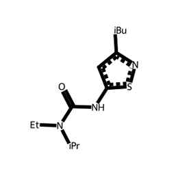 CCC(C)c1cc(NC(=O)N(CC)C(C)C)sn1